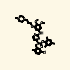 COc1cc(Nc2nccc(N(Cc3cc(Cl)ccc3C)C(=O)Oc3c(C)cc(C)cc3C)n2)cc(OCCCN2CCN(C)CC2)c1OC